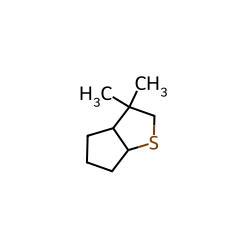 CC1(C)CSC2CCCC21